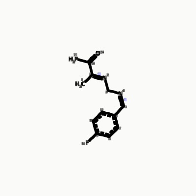 C/C(=N\C/N=C\c1ccc(F)cc1)C(=O)P